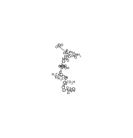 CCC1C2CC3(Cn4ncc(-c5ccc(N6CCc7cccc(C(=O)Nc8nc9ncccc9s8)c7C6)nc5C(=O)O)c4C)CC(OCCN(CP(=O)(O)O)C(=O)OCc4ccc(NC(=O)[C@H](CCCNC(N)=O)NC(=O)[C@@H](NC(=O)CCCCCN5C(=O)C=CC5=O)C(C)C)cc4)(C2)CC1(C)C3